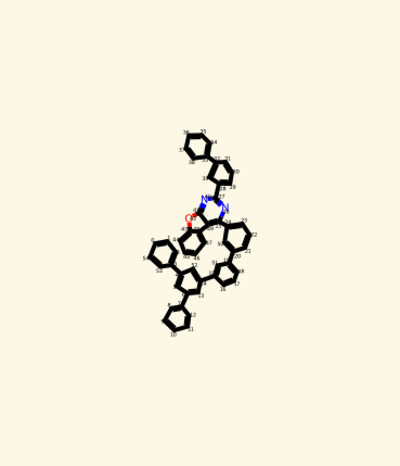 c1ccc(-c2cc(-c3ccccc3)cc(-c3cccc(-c4cccc(-c5nc(-c6cccc(-c7ccccc7)c6)nc6oc7ccccc7c56)c4)c3)c2)cc1